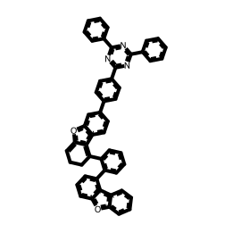 C1=c2oc3cc(-c4ccc(-c5nc(-c6ccccc6)nc(-c6ccccc6)n5)cc4)ccc3c2=C(c2ccccc2-c2cccc3oc4ccccc4c23)CC1